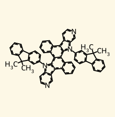 CC1(C)c2ccccc2-c2ccc(-n3c4ccncc4c4c5ccccc5c5c(c6ccccc6c6c7ccncc7n(-c7ccc8c(c7)C(C)(C)c7ccccc7-8)c65)c43)cc21